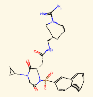 N=C(N)N1CCC[C@@H](CNC(=O)C[C@H]2C(=O)N(C3CC3)CC(=O)N2S(=O)(=O)c2ccc3ccccc3c2)C1